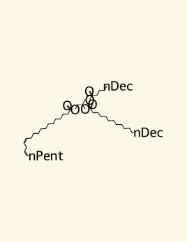 CCCCC/C=C\C/C=C\CCCCCCCCCCCC(=O)OC[C@@H](COC(=O)CCCCCCCCCCCCC)OC(=O)CCCCCCCCCCCCCCCCCCCCC